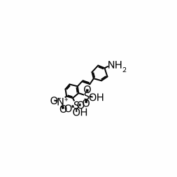 Nc1ccc(C=Cc2ccc([N+](=O)[O-])c(S(=O)(=O)O)c2S(=O)(=O)O)cc1